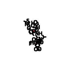 Cc1nc(COc2ccc(C[C@H](NC(=O)O[C@H]3CO[C@H]4OCC[C@H]43)[C@@H](CN(CC(C)C)S(=O)(=O)c3ccc4c(c3)OCO4)C(OCCI)C(=O)O)cc2)cs1